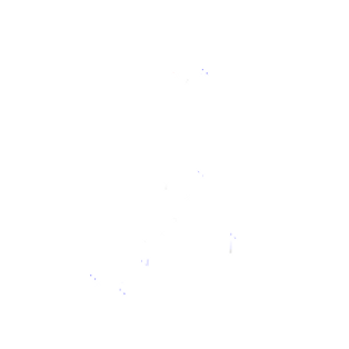 Cc1ccc2c(n1)Oc1nc(-c3ccc(C(=O)N(C)C)cc3)ccc1[C@H]2C(C)(C)C(=O)Nc1ncns1